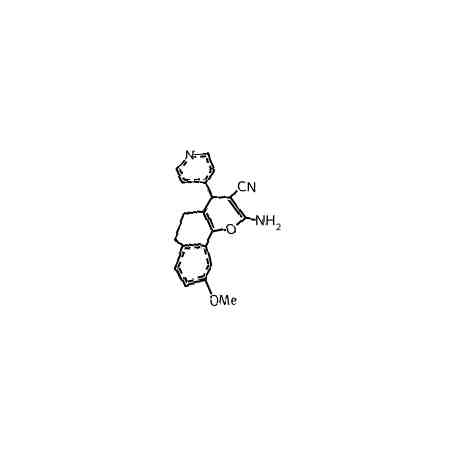 COc1ccc2c(c1)C1=C(CC2)C(c2ccncc2)C(C#N)=C(N)O1